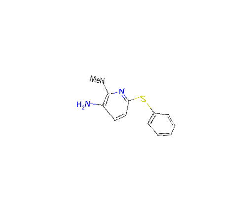 CNc1nc(Sc2ccccc2)ccc1N